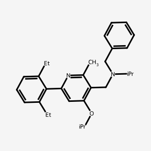 CCc1cccc(CC)c1-c1cc(OC(C)C)c(CN(Cc2ccccc2)C(C)C)c(C)n1